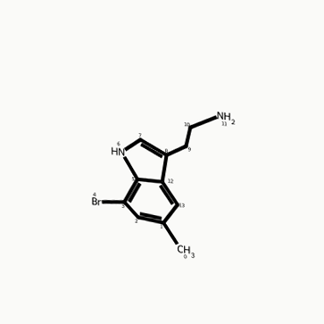 Cc1cc(Br)c2[nH]cc(CCN)c2c1